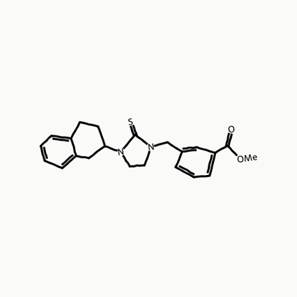 COC(=O)c1cccc(CN2CCN(C3CCc4ccccc4C3)C2=S)c1